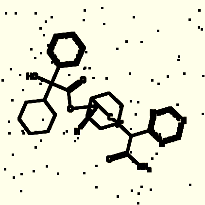 NC(=O)C(c1ncncn1)[N+]12CCC(CC1)[C@@H](OC(=O)C(O)(c1ccccc1)C1CCCCC1)C2